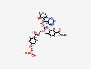 CNC(=O)c1ccc(C)c(N(C(=O)OCOC(=O)c2ccc(OOP(O)O)cc2)c2ncnn3cc(C(=O)NC)c(C)c23)c1